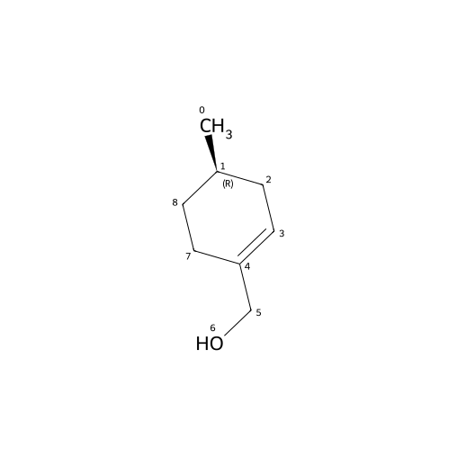 C[C@H]1CC=C(CO)CC1